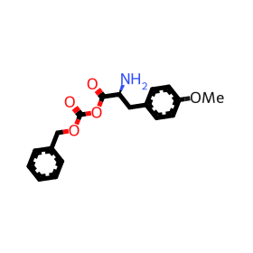 COc1ccc(C[C@H](N)C(=O)OC(=O)OCc2ccccc2)cc1